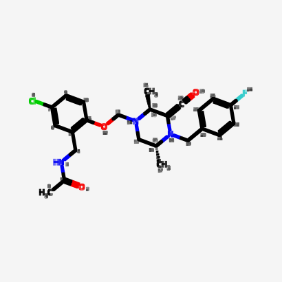 CC(=O)NCc1cc(Cl)ccc1OCN1C[C@@H](C)N(Cc2ccc(F)cc2)C(=C=O)[C@@H]1C